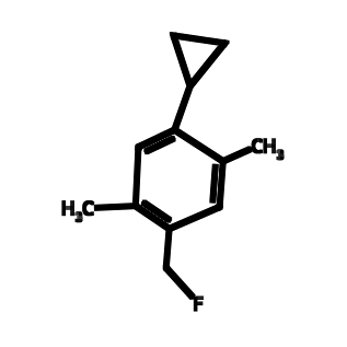 Cc1cc(C2CC2)c(C)cc1CF